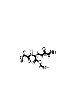 CO[C@@H](C)C(=O)N[C@@H](CCC(=O)C=N)C(=O)OCO